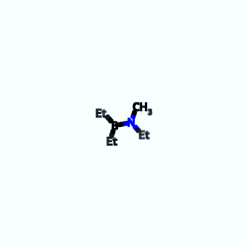 CCB(CC)N(C)CC